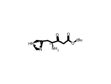 CC(C)(C)OC(=O)CC(=O)[C@@H](N)Cc1c[nH]cn1